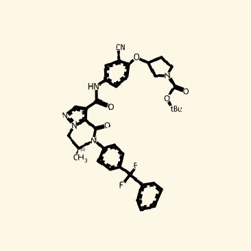 C[C@H]1Cn2ncc(C(=O)Nc3ccc(OC4CCN(C(=O)OC(C)(C)C)C4)c(C#N)c3)c2C(=O)N1c1ccc(C(F)(F)c2ccccc2)cc1